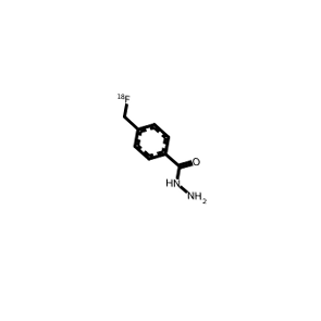 NNC(=O)c1ccc(C[18F])cc1